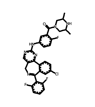 CC1CN(C(=O)c2cc(Nc3ncc4c(n3)-c3ccc(Cl)cc3C(c3c(F)cccc3F)=NC4)ccc2F)CC(C)N1